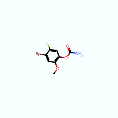 COc1cc(Br)c(F)cc1OC(N)=O